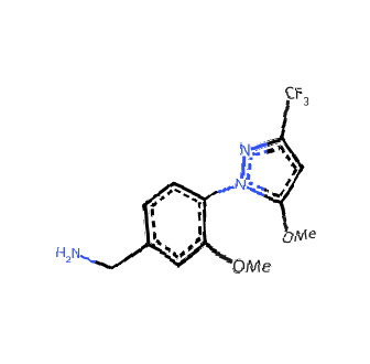 COc1cc(CN)ccc1-n1nc(C(F)(F)F)cc1OC